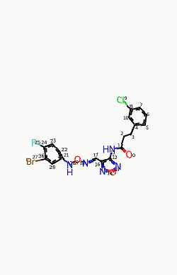 O=C(CCc1cccc(Cl)c1)Nc1nonc1/C=N/ONc1ccc(F)c(Br)c1